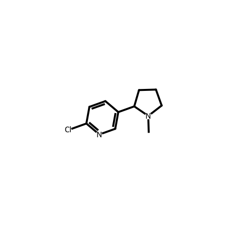 CN1CCCC1c1ccc(Cl)nc1